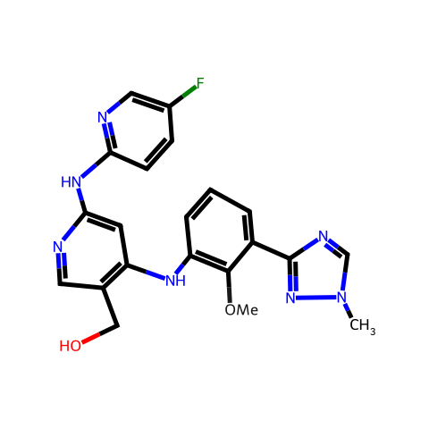 COc1c(Nc2cc(Nc3ccc(F)cn3)ncc2CO)cccc1-c1ncn(C)n1